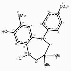 CCCCC1(CCCC)CN(c2ccc(C(=O)O)cc2)c2cc(SC)c(O)cc2[S+]([O-])C1